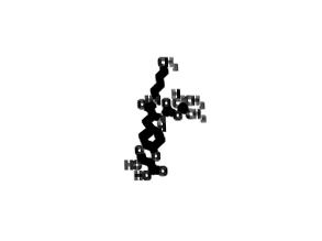 CCCCCNC(=O)C(Cc1ccc(OC(C(=O)O)C(=O)O)cc1)NC(=O)OC(C)(C)C